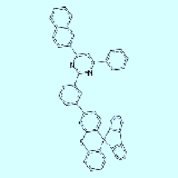 c1ccc(-c2cc(-c3ccc4ccccc4c3)nc(-c3cccc(-c4ccc5c(c4)Sc4ccccc4C54c5ccccc5-c5ccccc54)c3)n2)cc1